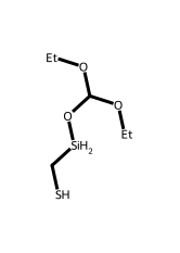 CCOC(OCC)O[SiH2]CS